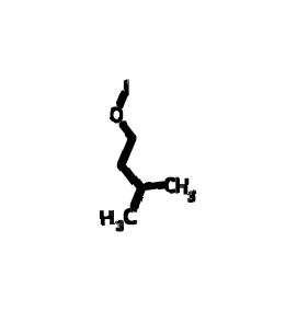 CC(C)CCOI